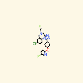 FCCN1Cc2cc(Cl)ccc2-n2c(nnc2C2CCC(Oc3ccc(F)cn3)CC2)C1